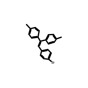 Cc1ccc(C(=Cc2ccc(Br)cc2)c2ccc(C)cc2)cc1